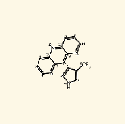 FC(F)(F)c1cc[nH]c1.c1ccc2nc3ccccc3cc2c1